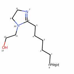 CCCCCCCCCCCCC1=NCCN1CCO